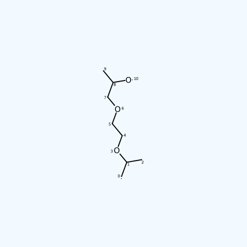 [CH2]C(C)OCCOCC(C)[O]